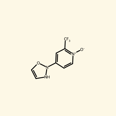 [O-][n+]1ccc(N2NC=CO2)cc1C(F)(F)F